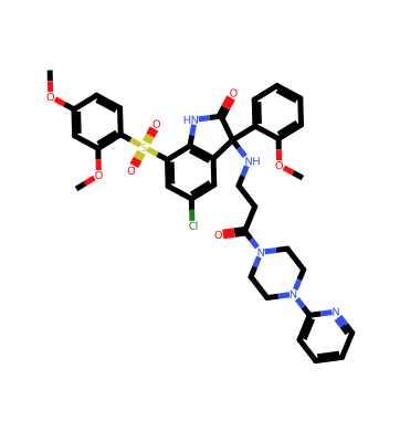 COc1ccc(S(=O)(=O)c2cc(Cl)cc3c2NC(=O)C3(NCCC(=O)N2CCN(c3ccccn3)CC2)c2ccccc2OC)c(OC)c1